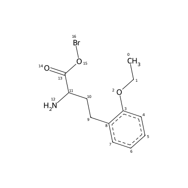 CCOc1ccccc1CCC(N)C(=O)OBr